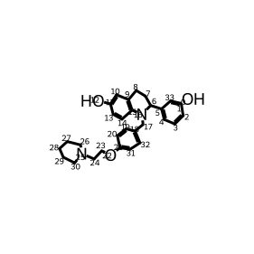 Oc1cccc(C2CCc3cc(O)ccc3N2Cc2ccc(OCCN3CCCCC3)cc2)c1